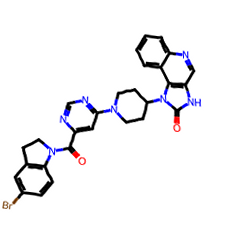 O=C(c1cc(N2CCC(n3c(=O)[nH]c4cnc5ccccc5c43)CC2)ncn1)N1CCc2cc(Br)ccc21